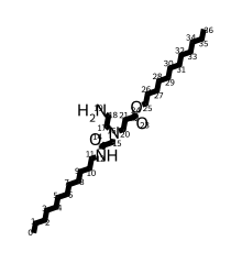 CCCCCCCCCCCCNC(=O)CN(CCN)CCC(=O)OCCCCCCCCCCCC